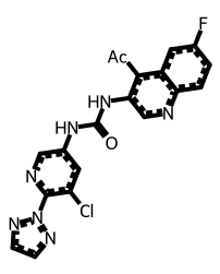 CC(=O)c1c(NC(=O)Nc2cnc(-n3nccn3)c(Cl)c2)cnc2ccc(F)cc12